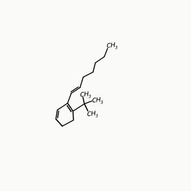 CCCCC/C=C/C1=C(C(C)(C)C)CCC=C1